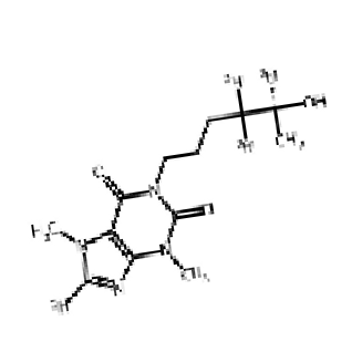 [2H]c1nc2c(c(=O)n(CCCC([2H])([2H])[C@]([2H])(C)O)c(=O)n2C)n1C